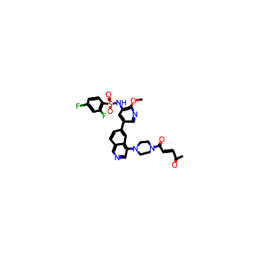 COc1ncc(-c2ccc3cncc(N4CCN(C(=O)/C=C/C(C)=O)CC4)c3c2)cc1NS(=O)(=O)c1ccc(F)cc1F